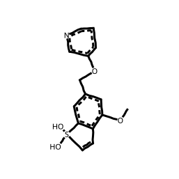 COc1cc(COc2cccnc2)cc2c1C=CS2(O)O